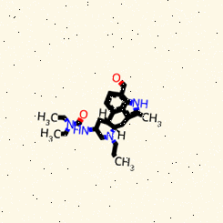 CCCN1CC(NC(=O)N(CC)CC)C[C@@H]2c3ccc(C=O)c4[nH]c(C)c(c34)C[C@H]21